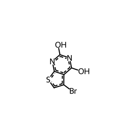 Oc1nc(O)c2c(Br)csc2n1